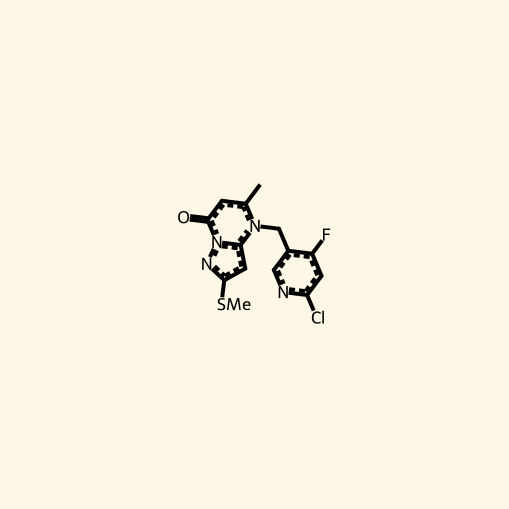 CSc1cc2n(Cc3cnc(Cl)cc3F)c(C)cc(=O)n2n1